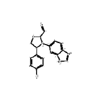 O=CC1OCC(c2ccc(Cl)cc2)N1c1ccc2nc[nH]c2c1